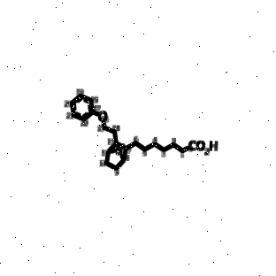 O=C(O)CCCCCCC1C2CCC(S2)C1CCOc1ccccc1